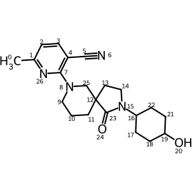 Cc1ccc(C#N)c(N2CCCC3(CCN(C4CCC(O)CC4)C3=O)C2)n1